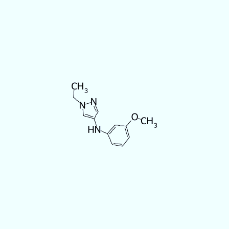 CCn1cc(Nc2cccc(OC)c2)cn1